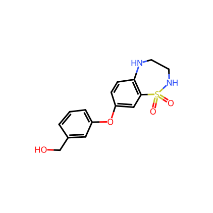 O=S1(=O)NCCNc2ccc(Oc3cccc(CO)c3)cc21